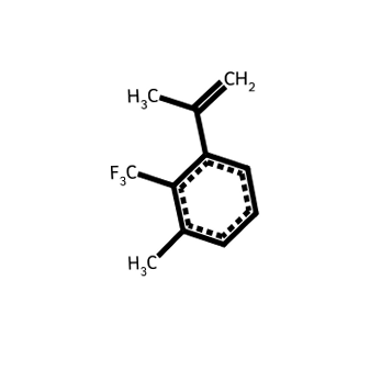 C=C(C)c1cccc(C)c1C(F)(F)F